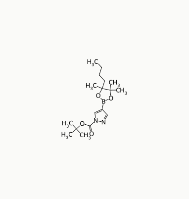 CCCCC1(C)OB(c2cnn(C(=O)OC(C)(C)C)c2)OC1(C)C